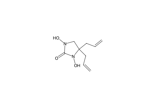 C=CCC1(CC=C)CN(O)C(=O)N1O